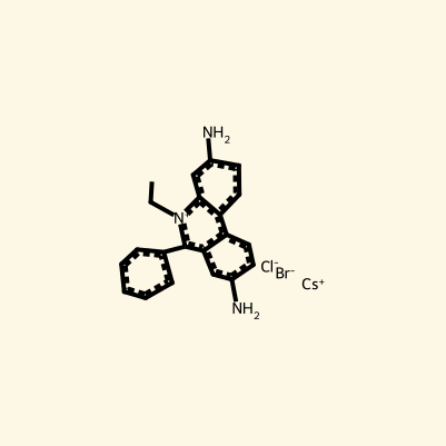 CC[n+]1c(-c2ccccc2)c2cc(N)ccc2c2ccc(N)cc21.[Br-].[Cl-].[Cs+]